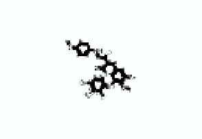 COc1ccc(NCC(=O)C(Cc2cc(Br)c(OC)c(Br)c2)C(=O)Nc2cc(Br)c(O)c(Br)c2)cc1